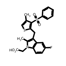 Cc1csc(Cc2c(C)n(CC(=O)O)c3ccc(F)cc23)c1S(=O)(=O)c1ccccc1